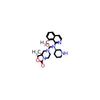 Cc1cccc2ccnc(N(C(=O)N3CCN4C(=O)OC[C@]4(C)C3)[C@@H]3CCCNC3)c12